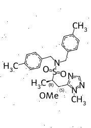 CO[C@@H](c1ncnn1C)[C@@H](C)S(=O)(=O)N(Cc1ccc(C)cc1)Cc1ccc(C)cc1